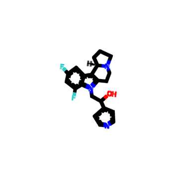 OC(Cn1c2c(c3cc(F)cc(F)c31)[C@H]1CCCN1CC2)c1ccncc1